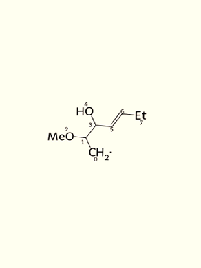 [CH2]C(OC)C(O)C=CCC